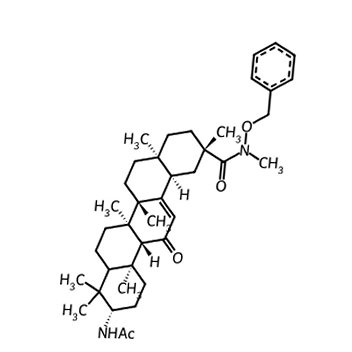 CC(=O)N[C@H]1CC[C@@]2(C)C(CC[C@]3(C)[C@@H]2C(=O)C=C2[C@@H]4C[C@@](C)(C(=O)N(C)OCc5ccccc5)CC[C@]4(C)CC[C@]23C)C1(C)C